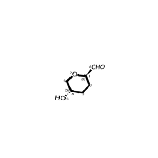 O=C[C@H]1CC[C@H](O)CO1